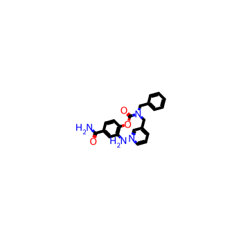 NC(=O)c1ccc(OC(=O)N(Cc2ccccc2)Cc2cccnc2)c(N)c1